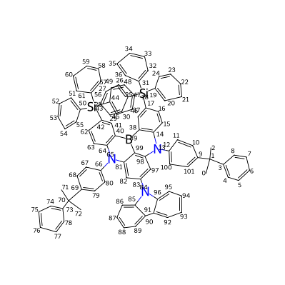 CC(C)(c1ccccc1)c1ccc(N2c3ccc([Si](c4ccccc4)(c4ccccc4)c4ccccc4)cc3B3c4cc([Si](c5ccccc5)(c5ccccc5)c5ccccc5)ccc4N(c4ccc(C(C)(C)c5ccccc5)cc4)c4cc(-n5c6ccccc6c6ccccc65)cc2c43)cc1